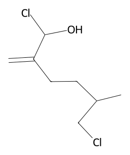 C=C(CCC(C)CCl)C(O)Cl